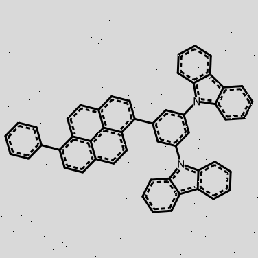 c1ccc(-c2ccc3ccc4c(-c5cc(-n6c7ccccc7c7ccccc76)cc(-n6c7ccccc7c7ccccc76)c5)ccc5ccc2c3c54)cc1